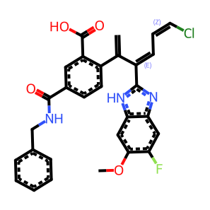 C=C(/C(=C\C=C/Cl)c1nc2cc(F)c(OC)cc2[nH]1)c1ccc(C(=O)NCc2ccccc2)cc1C(=O)O